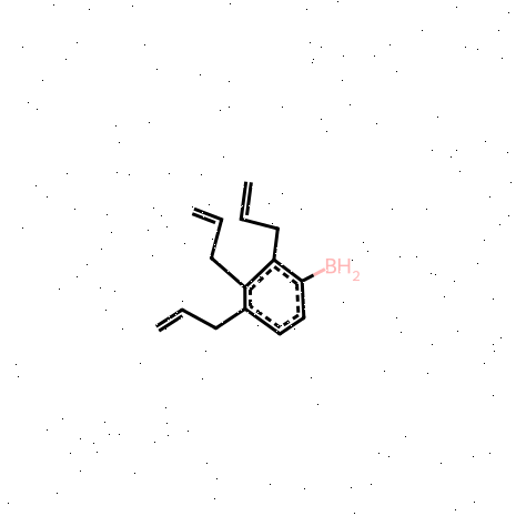 Bc1ccc(CC=C)c(CC=C)c1CC=C